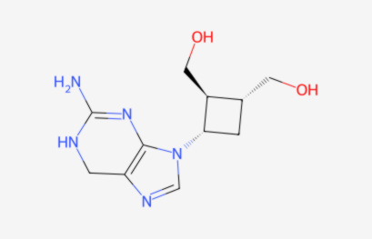 NC1=Nc2c(ncn2[C@H]2C[C@@H](CO)[C@@H]2CO)CN1